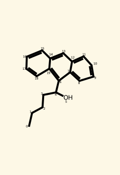 CCCCC(O)c1c2ccccc2cc2ccccc12